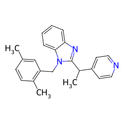 Cc1ccc(C)c(Cn2c(C(C)c3ccncc3)nc3ccccc32)c1